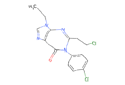 CCn1cnc2c(=O)n(-c3ccc(Cl)cc3)c(CCCl)nc21